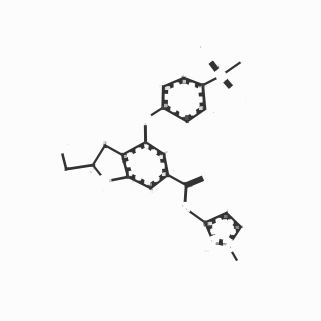 Cn1ccc(NC(=O)c2cc(Oc3ccc(S(C)(=O)=O)cc3)c3c(c2)OC(CF)C3)n1